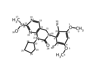 COc1cc(OC)c(F)c(N2Cc3cnc([S+](C)[O-])nc3N(C3CCCC3)C2=O)c1F